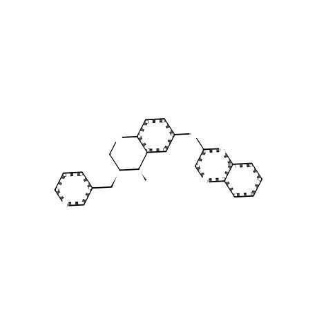 O[C@@H]1c2cc(Oc3cnc4ccccc4n3)ccc2OC[C@@H]1Cc1cccnc1